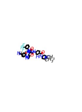 Cn1c(-c2ccnn2-c2ccc(C#N)cc2)c(C(=O)NC2CCC(C(=O)NC3CC[N+](C)(C)CC3)CC2)c(=O)n1-c1cccc(C(F)(F)F)c1